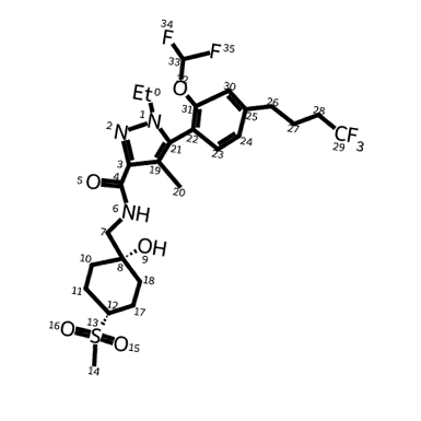 CCn1nc(C(=O)NC[C@]2(O)CC[C@@H](S(C)(=O)=O)CC2)c(C)c1-c1ccc(CCCC(F)(F)F)cc1OC(F)F